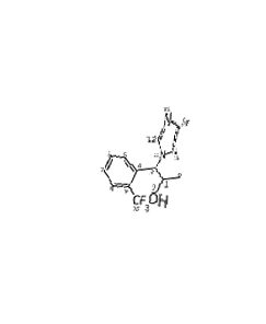 CC(O)C(c1ccccc1C(F)(F)F)n1cncn1